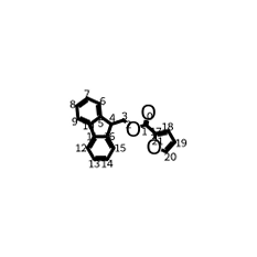 O=C(OCC1c2ccccc2-c2ccccc21)c1ccco1